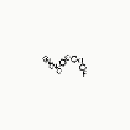 O=C(c1ccc(Oc2ccc(Oc3ccc(F)cc3)cc2)cc1)N1CC[C@H](N2CCCC2)C1